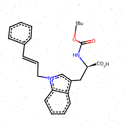 CC(C)(C)OC(=O)N[C@H](Cc1cn(C/C=C/c2ccccc2)c2ccccc12)C(=O)O